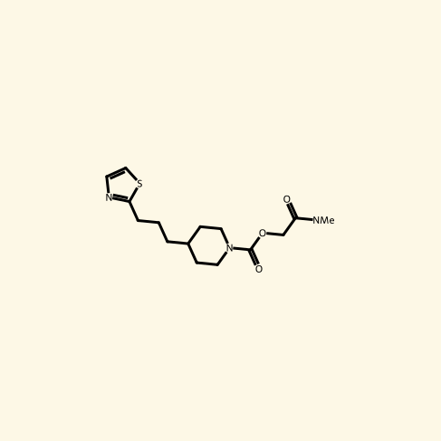 CNC(=O)COC(=O)N1CCC(CCCc2nccs2)CC1